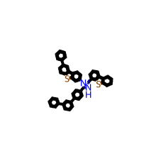 c1ccc(-c2cccc(-c3ccc(C4NC(c5cccc6c5sc5ccccc56)=[N+]4c4ccc5c(c4)sc4ccc(-c6ccccc6)cc45)cc3)c2)cc1